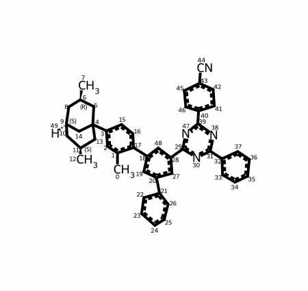 Cc1cc(C23C[C@H](C)C[C@H](C[C@H](C)C2)C3)ccc1-c1cc(-c2ccccc2)cc(-c2nc(-c3ccccc3)nc(-c3ccc(C#N)cc3)n2)c1